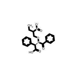 CCC(CON(C(=O)c1ccccc1)[C@H](C(=O)O)c1ccccc1)[N+](=O)[O-]